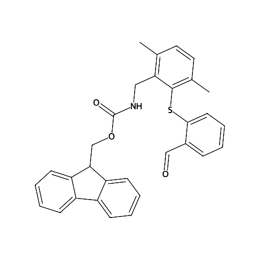 Cc1ccc(C)c(Sc2ccccc2C=O)c1CNC(=O)OCC1c2ccccc2-c2ccccc21